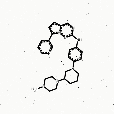 CN1CCN(C2CCCN(c3ccc(Nc4ncc5ccc(-c6cccnc6)n5n4)cc3)C2)CC1